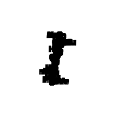 CCCC[C@H](NC(=O)[C@@H](NC(=O)OC)C(C)C)c1ncc(-c2ccc3c(c2)COc2cc4c(ccc5nc([C@@H]6CC[C@H](C)N6C(=O)[C@@H](NC(=O)OC)[C@@H](C)OC(C)(C)C)[nH]c54)cc2-3)[nH]1